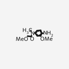 COCC(=O)N(C)c1ccc(N)c(OC)c1